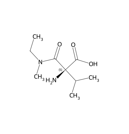 CCN(C)C(=O)[C@](N)(C(=O)O)C(C)C